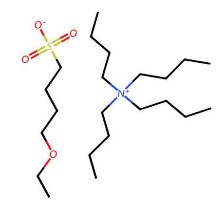 CCCC[N+](CCCC)(CCCC)CCCC.CCOCCCCS(=O)(=O)[O-]